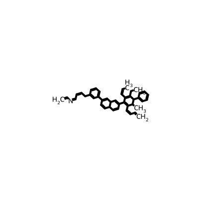 C=C/C=C\C1=C(C2=CC3C=C(c4cccc(C/C=C\C=N/C=C)c4)C=CC3C=C2)C(/C=C\C)=C(CC)C(c2ccccc2)C1C